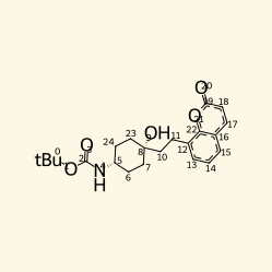 CC(C)(C)OC(=O)N[C@H]1CC[C@](O)(CCc2cccc3ccc(=O)oc23)CC1